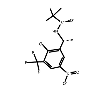 C[C@@H](N[S@+]([O-])C(C)(C)C)c1cc([N+](=O)[O-])cc(C(F)(F)F)c1Cl